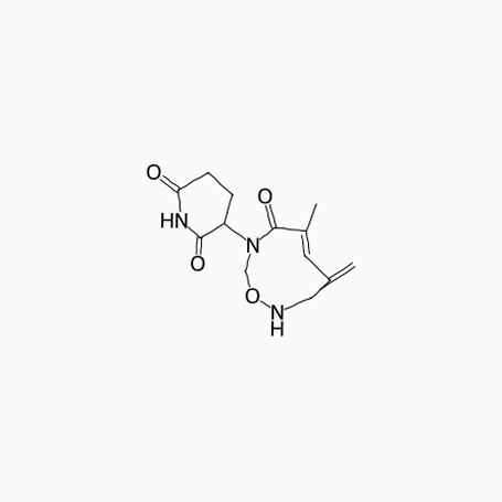 C=C1/C=C(\C)C(=O)N(C2CCC(=O)NC2=O)CONC1